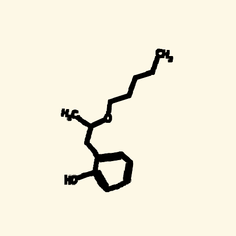 CCCCCOC(C)Cc1ccccc1O